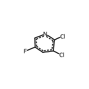 Fc1cnc(Cl)c(Cl)c1